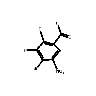 O=C(Cl)c1cc([N+](=O)[O-])c(Br)c(F)c1F